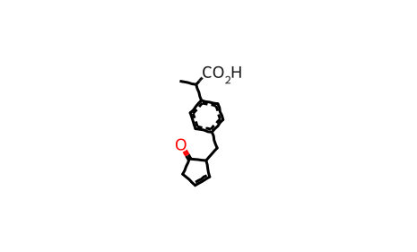 CC(C(=O)O)c1ccc(CC2C=CCC2=O)cc1